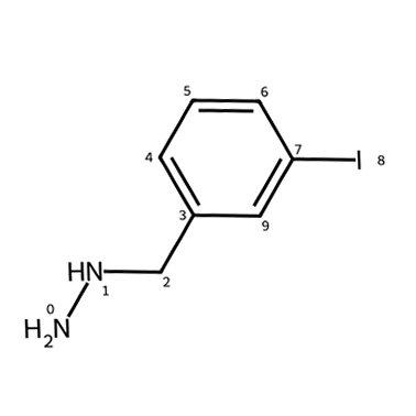 NNCc1cccc(I)c1